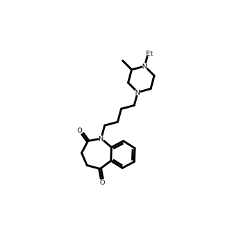 CCN1CCN(CCCCN2C(=O)CCC(=O)c3ccccc32)CC1C